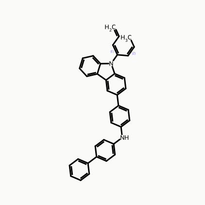 C=C/C=C(\C=C/C)n1c2ccccc2c2cc(-c3ccc(Nc4ccc(-c5ccccc5)cc4)cc3)ccc21